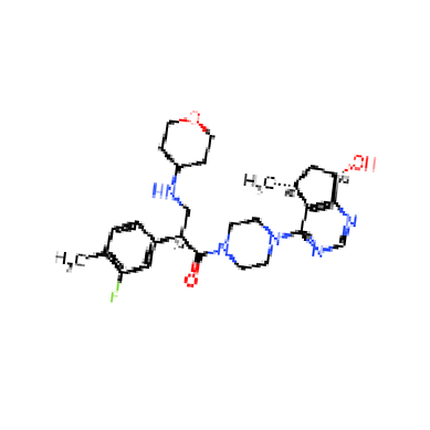 Cc1ccc([C@@H](CNC2CCOCC2)C(=O)N2CCN(c3ncnc4c3[C@H](C)C[C@@H]4O)CC2)cc1F